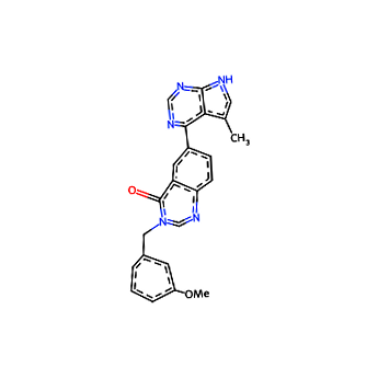 COc1cccc(Cn2cnc3ccc(-c4ncnc5[nH]cc(C)c45)cc3c2=O)c1